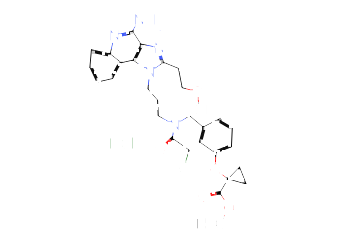 COCCc1nc2c(N)nc3ccccc3c2n1CCCN(Cc1cccc(OC2(C(=O)OC)CC2)c1)C(=O)CCl.Cl